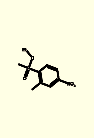 CCOP(C)(=O)c1ccc([N+](=O)[O-])cc1C